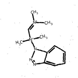 C[N+](C)=C[N+](C)(C)n1nnc2ccccc21